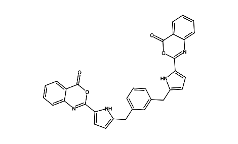 O=c1oc(-c2ccc(Cc3cccc(Cc4ccc(-c5nc6ccccc6c(=O)o5)[nH]4)c3)[nH]2)nc2ccccc12